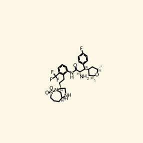 C[C@@H]1CC([C@H](c2ccc(F)cc2)[C@H](N)C(=O)Nc2cccc(C(F)(F)F)c2CC[C@H]2CN[C@@H]3CCCS(=O)(=O)N2C3)C[C@H](C)O1